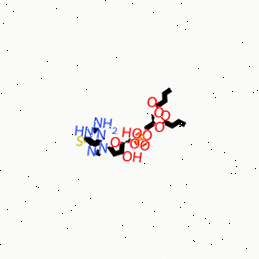 CCCC(=O)OC[C@H](COP(=O)(O)OC[C@H]1O[C@@H](n2cnc3c(=S)[nH]c(N)nc32)C[C@@H]1O)OC(=O)CCC